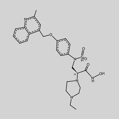 CCN1CCN([C@@H](CN(c2ccc(OCc3cc(C)nc4ccccc34)cc2)[SH](=O)=O)C(=O)NO)CC1